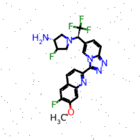 COc1cc2nc(-c3nnc4ccc([C@@H](N5CC(F)[C@H](N)C5)C(F)(F)F)cn34)ccc2cc1F